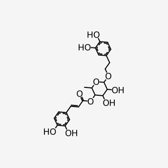 CC1OC(OCCc2ccc(O)c(O)c2)C(O)C(O)C1OC(=O)C=Cc1ccc(O)c(O)c1